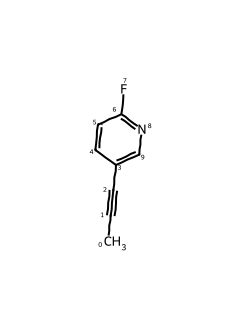 CC#Cc1c[c]c(F)nc1